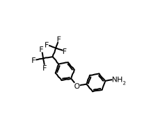 Nc1ccc(Oc2ccc(C(C(F)(F)F)C(F)(F)F)cc2)cc1